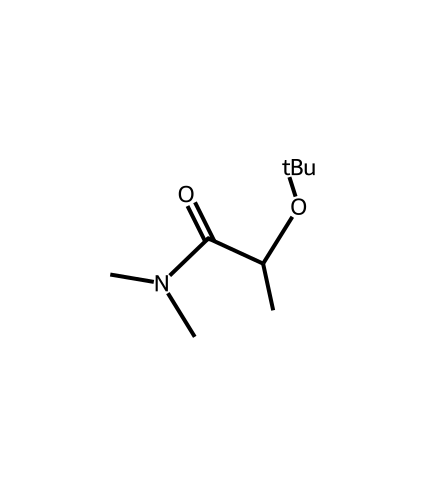 CC(OC(C)(C)C)C(=O)N(C)C